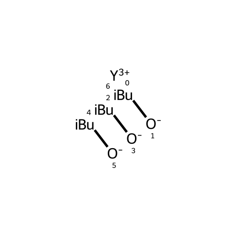 CCC(C)[O-].CCC(C)[O-].CCC(C)[O-].[Y+3]